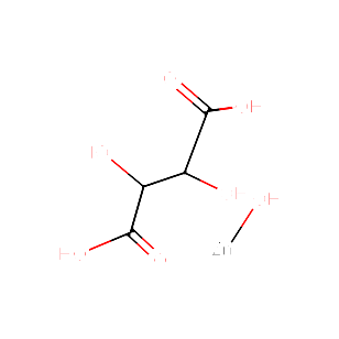 O=C(O)C(O)C(O)C(=O)O.[OH][Zn]